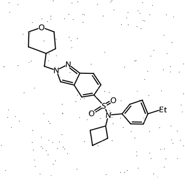 CCc1ccc(N(C2CCC2)S(=O)(=O)c2ccc3nn(CC4CCOCC4)cc3c2)cc1